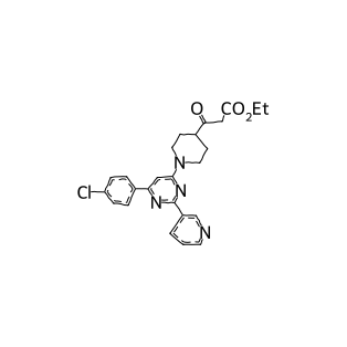 CCOC(=O)CC(=O)C1CCN(c2cc(-c3ccc(Cl)cc3)nc(-c3cccnc3)n2)CC1